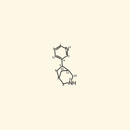 c1cncc(C2CC3CNCC2C3)c1